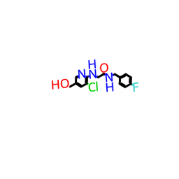 O=C(CNc1ncc(CO)cc1Cl)NCc1ccc(F)cc1